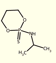 CC(C)NP1(=S)OCCCO1